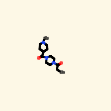 CC(C)(C)CC(=O)N1CCN(C(=O)C2CCN(C(C)(C)C)CC2)CC1